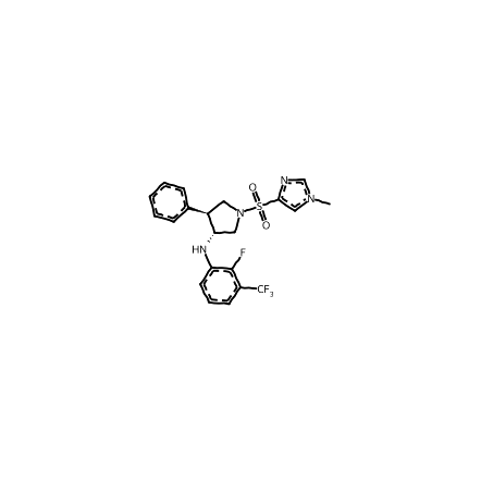 Cn1cnc(S(=O)(=O)N2C[C@H](Nc3cccc(C(F)(F)F)c3F)[C@@H](c3ccccc3)C2)c1